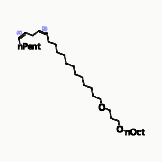 CCCCC/C=C\C/C=C\CCCCCCCCCCCCOCCCOCCCCCCCC